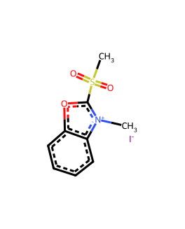 C[n+]1c(S(C)(=O)=O)oc2ccccc21.[I-]